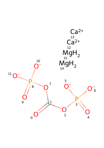 O=C(OP(=O)([O-])[O-])OP(=O)([O-])[O-].[Ca+2].[Ca+2].[MgH2].[MgH2]